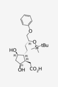 CC(C)(C)[Si](C)(C)O[C@H](CC[C@@H]1[C@@H](CC(=O)O)[C@@H](O)C[C@H]1O)COc1ccccc1